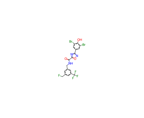 O=C(NCc1cc(CF)cc(C(F)(F)F)c1)c1nc(-c2cc(Br)c(O)c(Br)c2)no1